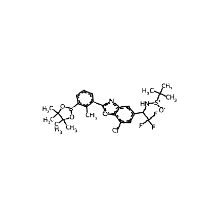 Cc1c(B2OC(C)(C)C(C)(C)O2)cccc1-c1nc2cc(C(N[S+]([O-])C(C)(C)C)C(F)(F)F)cc(Cl)c2o1